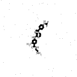 Cc1cc(Nc2nccn3c(-c4ccc(NC(F)F)cc4)cnc23)ccc1C(=O)NCCN